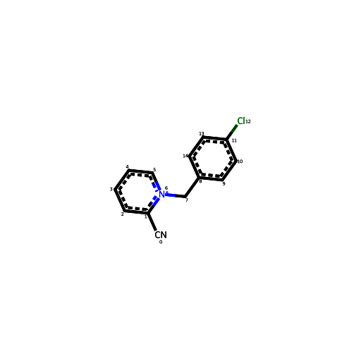 N#Cc1cccc[n+]1Cc1ccc(Cl)cc1